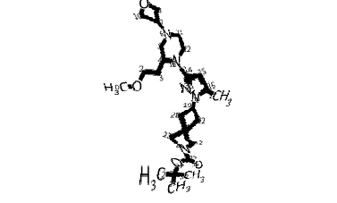 COCCC1CN(C2COC2)CCN1c1cc(C)n(C2CC3(C2)CN(C(=O)OC(C)(C)C)C3)n1